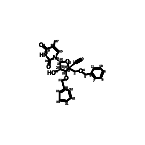 C#C[C@]1(COCc2ccccc2)O[C@@H](n2cc(C)c(=O)[nH]c2=O)[C@H](O)[C@@H]1OCc1ccccc1